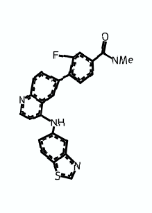 CNC(=O)c1ccc(-c2ccc3nccc(Nc4ccc5scnc5c4)c3c2)c(F)c1